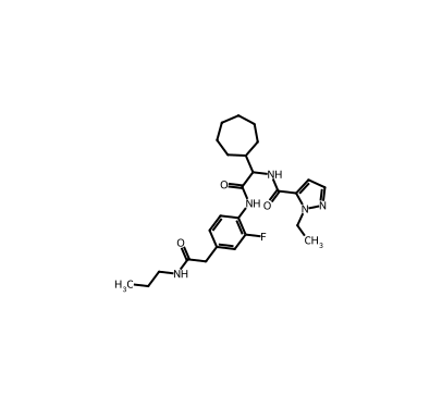 CCCNC(=O)Cc1ccc(NC(=O)C(NC(=O)c2ccnn2CC)C2CCCCCC2)c(F)c1